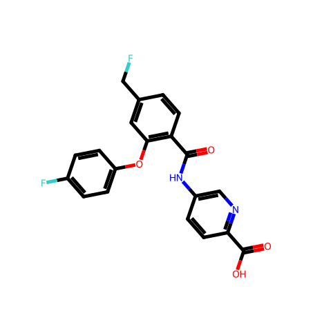 O=C(O)c1ccc(NC(=O)c2ccc(CF)cc2Oc2ccc(F)cc2)cn1